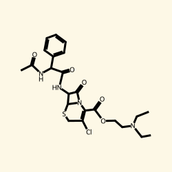 CCN(CC)CCOC(=O)C1=C(Cl)CSC2C(NC(=O)C(NC(C)=O)c3ccccc3)C(=O)N12